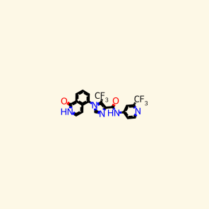 O=C(Nc1ccnc(C(F)(F)F)c1)c1ncn(-c2cccc3c(=O)[nH]ccc23)c1C(F)(F)F